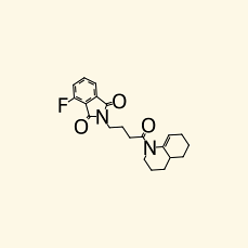 O=C(CCCN1C(=O)c2cccc(F)c2C1=O)N1CCCC2CCCC=C21